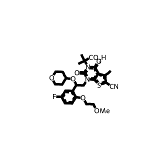 COCCOc1ccc(F)cc1C(Cn1c(=O)n(C(C)(C)C(=O)O)c(=O)c2c(C)c(C#N)sc21)OC1CCOCC1